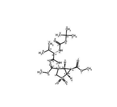 COC(=O)[C@@H]1[C@@H]2[C@H]1S(=O)(=O)C[C@@]2(NC(=O)[C@@H](NC(=O)OC(C)(C)C)C(C)C)C(=O)OC